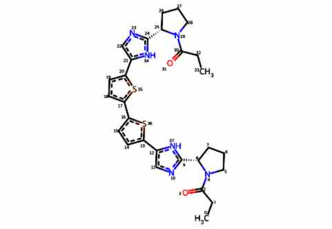 CCC(=O)N1CCC[C@H]1c1ncc(-c2ccc(-c3ccc(-c4cnc([C@@H]5CCCN5C(=O)CC)[nH]4)s3)s2)[nH]1